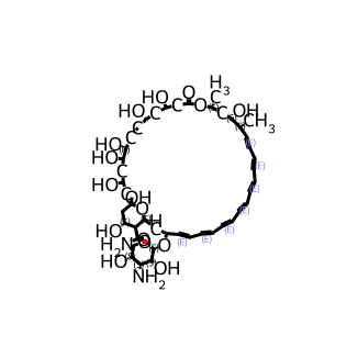 C[C@H]1C[C@H](O)[C@@H](C)/C=C/C=C/C=C/C=C/C=C/C=C/C=C/C(O[C@@H]2OC[C@@H](O)[C@H](N)[C@@H]2O)C[C@@H]2OC(O)(CC(O)CC(O)[C@H](O)CCC(O)CC(O)CC(=O)O1)C[C@H](O)C2C(N)=O